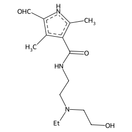 CCN(CCO)CCNC(=O)c1c(C)[nH]c(C=O)c1C